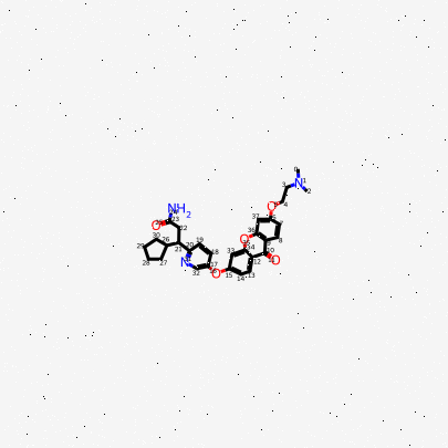 CN(C)CCOc1ccc2c(=O)c3ccc(Oc4ccc(C(CC(N)=O)C5CCCC5)nc4)cc3oc2c1